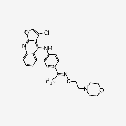 C/C(=N\OCCN1CCOCC1)c1ccc(Nc2c3ccccc3nc3occ(Cl)c23)cc1